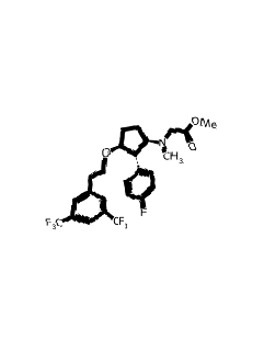 COC(=O)CN(C)[C@@H]1CC[C@H](OCCc2cc(C(F)(F)F)cc(C(F)(F)F)c2)[C@H]1c1ccc(F)cc1